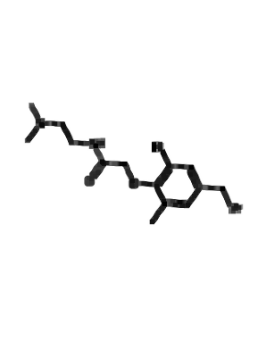 CCc1cc(CC(C)C)cc(C)c1OCC(=O)NCCN(C)C